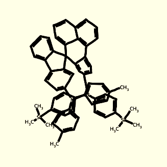 Cc1ccc(N(c2ccc(C)cc2)c2ccc3c(c2)C2(c4ccccc4-3)c3cc(N(c4ccc([Si](C)(C)C)cc4)c4ccc([Si](C)(C)C)cc4)ccc3-c3cccc4cccc2c34)cc1